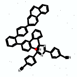 N#Cc1ccc(-c2nc(-c3ccc(C#N)cc3)nc(-c3ccccc3-c3cc(-c4ccccc4-c4ccc(-c5ccc6c(ccc7ccccc76)c5)cc4)ccc3C#N)n2)cc1